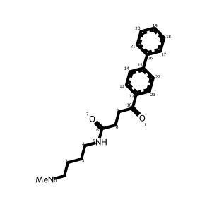 CNCCCCNC(=O)CCC(=O)c1ccc(-c2ccccc2)cc1